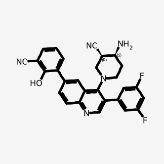 N#Cc1cccc(-c2ccc3ncc(-c4cc(F)cc(F)c4)c(N4CC[C@H](N)[C@H](C#N)C4)c3c2)c1O